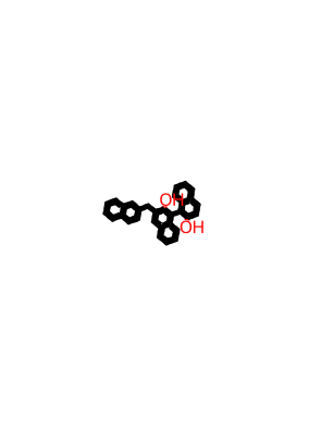 Oc1ccc2ccccc2c1-c1c(O)c(Cc2ccc3ccccc3c2)cc2ccccc12